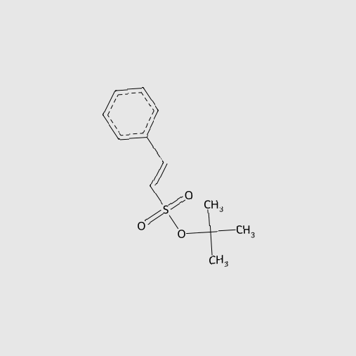 CC(C)(C)OS(=O)(=O)C=Cc1ccccc1